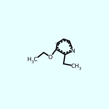 CCOc1[c]ccnc1CC